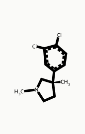 CN1CC[C@@](C)(c2ccc(Cl)c(Cl)c2)C1